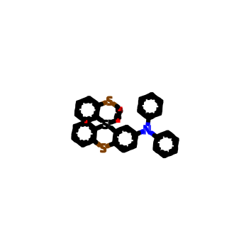 c1ccc(N(c2ccccc2)c2ccc3c(c2)[Si]2(c4ccccc4Sc4ccccc42)c2ccccc2S3)cc1